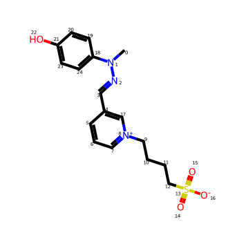 CN(/N=C/c1ccc[n+](CCCCS(=O)(=O)[O-])c1)c1ccc(O)cc1